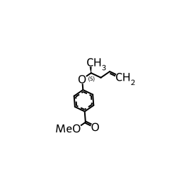 C=CC[C@H](C)Oc1ccc(C(=O)OC)cc1